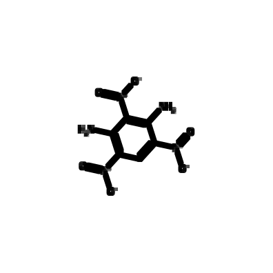 Nc1c([N+](=O)[O-])cc([N+](=O)[O-])c(N)c1[N+](=O)[O-]